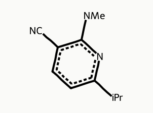 CNc1nc(C(C)C)ccc1C#N